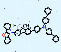 CC1(C)c2cc(-c3ccc(N(c4ccc(-c5ccccc5)cc4)c4ccc(-c5ccccc5)cc4)cc3)ccc2-c2ccc(-n3c4ccccc4c4oc5ccccc5c43)cc21